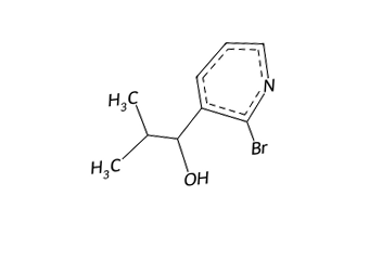 CC(C)C(O)c1cccnc1Br